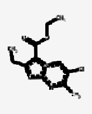 CCOC(=O)c1c(CC)nc2nc(C)c(Cl)cn12